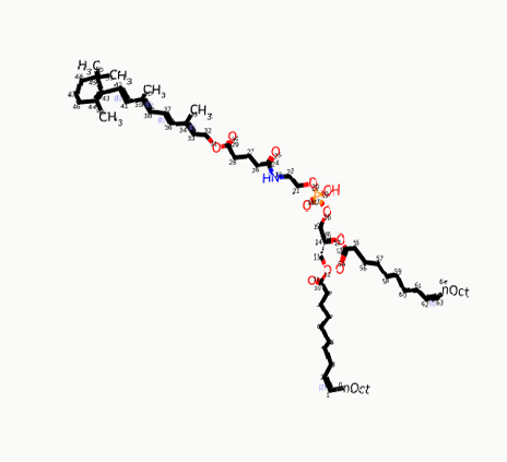 CCCCCCCC/C=C\CCCCCCCC(=O)OC[C@H](COP(=O)(O)OCCNC(=O)CCCC(=O)OC/C=C(C)/C=C/C=C(C)/C=C/C1=C(C)CCCC1(C)C)OC(=O)CCCCCCC/C=C\CCCCCCCC